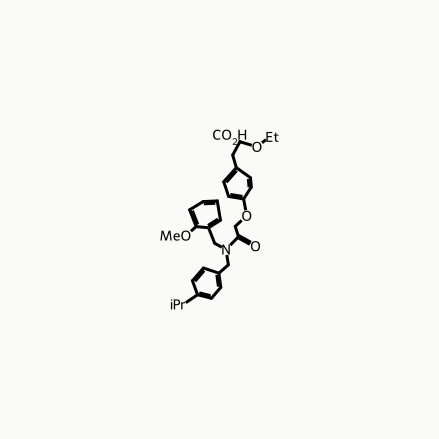 CCO[C@@H](Cc1ccc(OCC(=O)N(Cc2ccc(C(C)C)cc2)Cc2ccccc2OC)cc1)C(=O)O